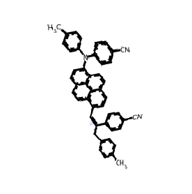 Cc1ccc(C/C(=C/c2ccc3ccc4c(N(c5ccc(C)cc5)c5ccc(C#N)cc5)ccc5ccc2c3c54)c2ccc(C#N)cc2)cc1